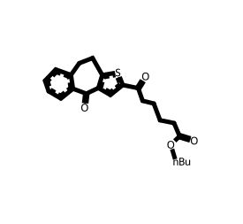 CCCCOC(=O)CCCCC(=O)c1cc2c(s1)CCc1ccccc1C2=O